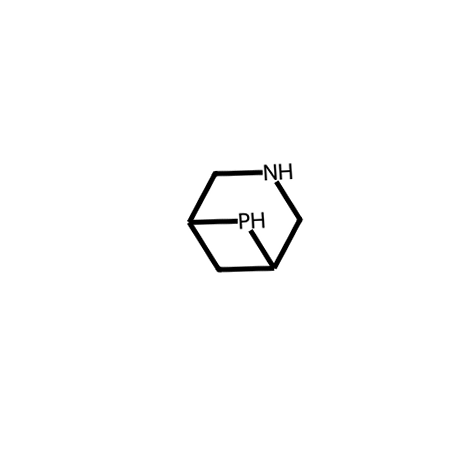 C1NCC2CC1P2